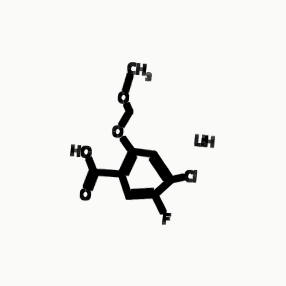 COCOc1cc(Cl)c(F)cc1C(=O)O.[LiH]